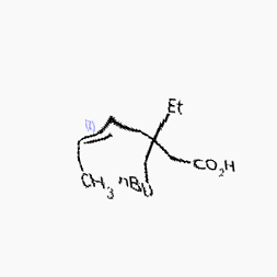 C/C=C\C(CC)(CCCC)C(=O)O